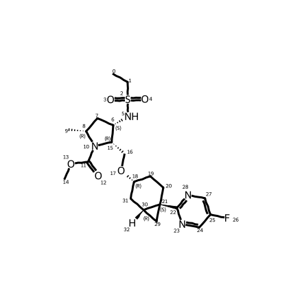 CCS(=O)(=O)N[C@H]1C[C@@H](C)N(C(=O)OC)[C@H]1CO[C@@H]1CC[C@]2(c3ncc(F)cn3)C[C@@H]2C1